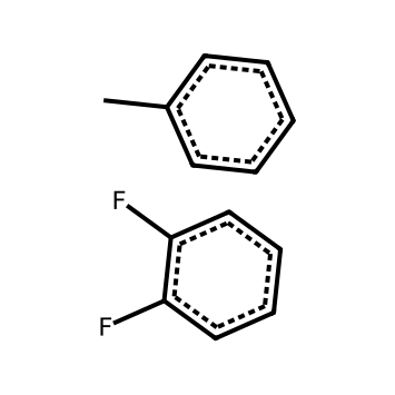 Cc1ccccc1.Fc1ccccc1F